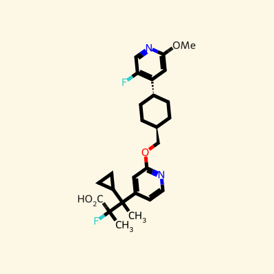 COc1cc([C@H]2CC[C@H](COc3cc(C(C)(C4CC4)C(C)(F)C(=O)O)ccn3)CC2)c(F)cn1